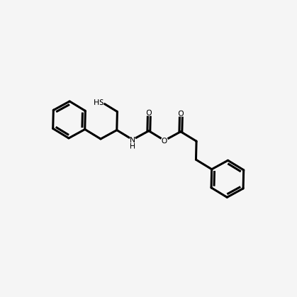 O=C(CCc1ccccc1)OC(=O)NC(CS)Cc1ccccc1